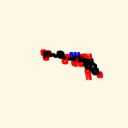 C[C@]12C=CC(=O)C=C1CC[C@H]1[C@@H]3C[C@@H](O)[C@](O)(C(=O)COC(=O)C(N)COC(=O)c4cccc(CCCO[N+](=O)[O-])c4)[C@@]3(C)C[C@H](O)[C@@]12F